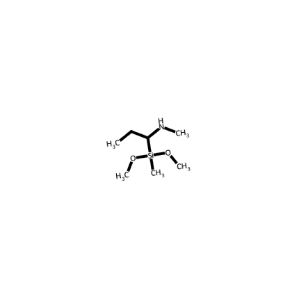 CCC(NC)[Si](C)(OC)OC